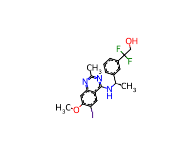 COc1cc2nc(C)nc(N[C@H](C)c3cccc(C(F)(F)CO)c3)c2cc1I